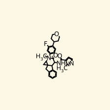 Cn1nccc1C(=O)NC1C(=O)[N+](C)(c2ccc(C3CCOCC3)c(F)c2)C2CC23Cc2ccccc2C13